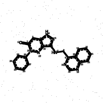 O=c1cc2[nH]nc(NCc3ncnc4ccccc34)c2nn1-c1ccccc1